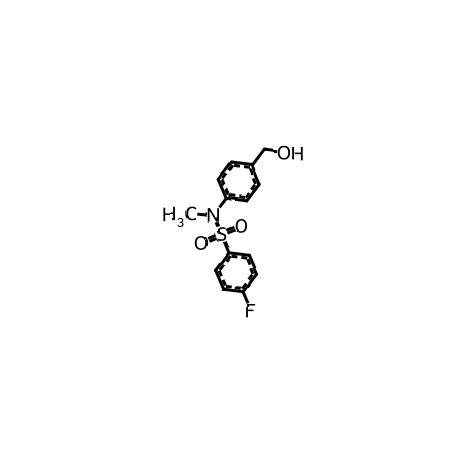 CN(c1ccc(CO)cc1)S(=O)(=O)c1ccc(F)cc1